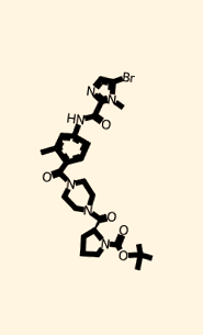 Cc1cc(NC(=O)c2ncc(Br)n2C)ccc1C(=O)N1CCN(C(=O)[C@@H]2CCCN2C(=O)OC(C)(C)C)CC1